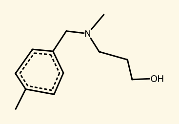 Cc1ccc(CN(C)CCCO)cc1